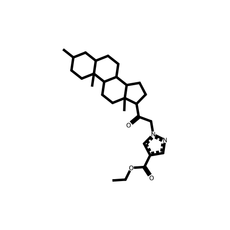 CCOC(=O)c1cnn(CC(=O)C2CCC3C4CCC5CC(C)CCC5(C)C4CCC23C)c1